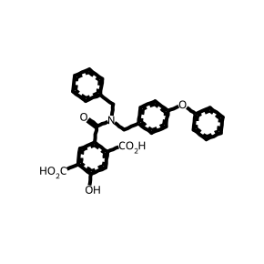 O=C(O)c1cc(C(=O)N(Cc2ccccc2)Cc2ccc(Oc3ccccc3)cc2)c(C(=O)O)cc1O